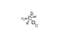 N#CC1=C(N)SC(N)=C(C#N)C1c1ccc(Cl)cc1